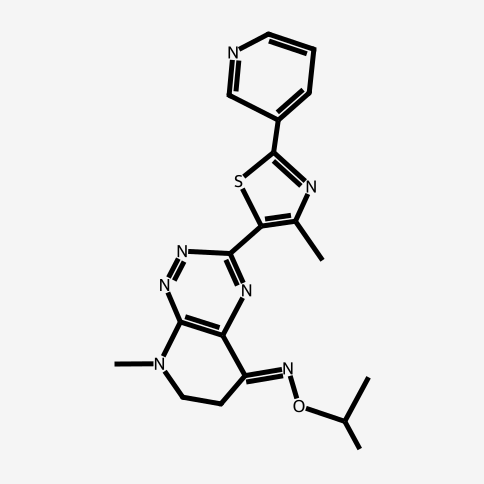 Cc1nc(-c2cccnc2)sc1-c1nnc2c(n1)/C(=N/OC(C)C)CCN2C